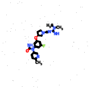 Cc1ccc(N(C(N)=O)c2cc(F)cc(O[C@H]3CCN(C#[N+]C(=N)N(C)C)C3)c2)cn1